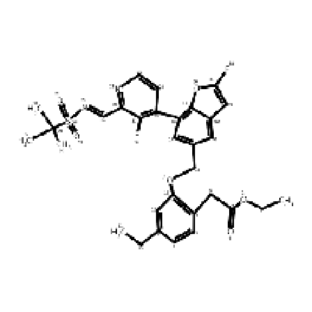 CCOC(=O)Cc1ccc(CC)cc1OCc1cc(-c2ccnc(C=NS(=O)(=O)C(C)(C)C)c2F)c2oc(F)cc2c1